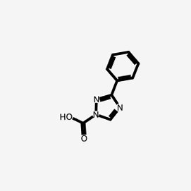 O=C(O)n1cnc(-c2ccccc2)n1